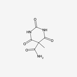 CC1(C(N)=O)C(=O)NC(=O)NC1=O